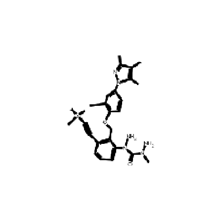 Cc1cc(-n2nc(C)c(C)c2C)ccc1OCc1c(C#CS(C)(C)C)cccc1N(N)C(=O)N(C)N